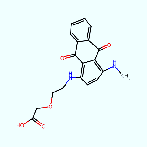 CNc1ccc(NCCOCC(=O)O)c2c1C(=O)c1ccccc1C2=O